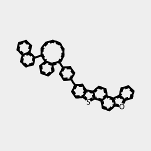 c1cccc(-c2cccc3ccccc23)c2ccccc2c(-c2ccc(-c3ccc4sc5c(ccc6c5ccc5oc7ccccc7c56)c4c3)cc2)cc1